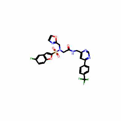 O=C(CN(Cc1ncco1)S(=O)(=O)c1cc2cc(F)ccc2o1)NCc1cc(-c2ccc(C(F)(F)F)cc2)ncn1